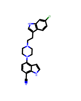 N#Cc1ccc(N2CCN(CCc3c[nH]c4cc(Cl)ccc34)CC2)c2cc[nH]c12